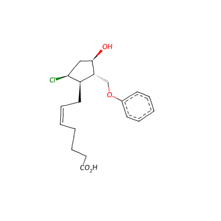 O=C(O)CCC/C=C\C[C@@H]1[C@@H](COc2ccccc2)[C@H](O)C[C@@H]1Cl